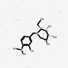 CCCN(CCC)c1ccc(CN2C[C@H](O)[C@@H](O)[C@@H](O)[C@@H]2CO)cc1C#N